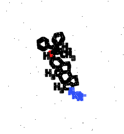 CC(C)(C)[Si](O[C@H]1CC[C@@]2(C)C(=CCC3C2CC[C@@]2(C)C3CC[C@H]2N=[N+]=[N-])C1)(c1ccccc1)c1ccccc1